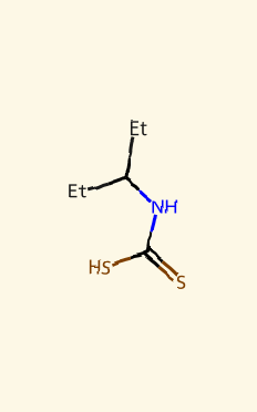 CCC(CC)NC(=S)S